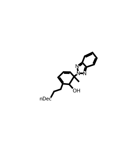 CCCCCCCCCCCCC1=CC=CC(C)(n2nc3ccccc3n2)C1O